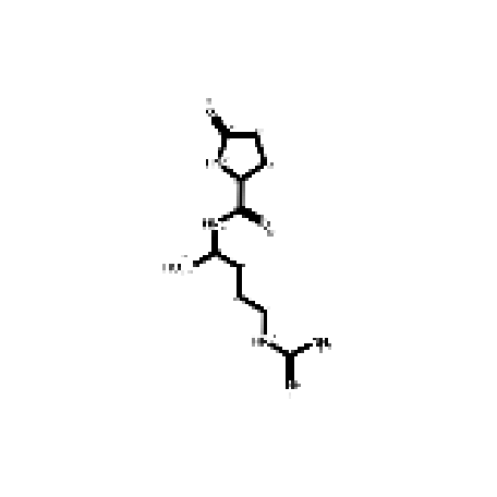 N=C(N)NCCCC(NC(=O)C1CCC(=O)N1)C(=O)O